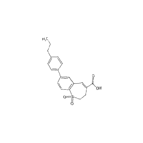 CCCc1ccc(-c2ccc3c(c2)C=C(C(=O)O)CCS3(=O)=O)cc1